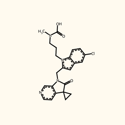 CN(CCCn1c(CN2C(=O)C3(CC3)c3ccncc32)cc2cc(Cl)ccc21)C(=O)O